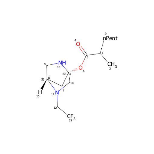 CCCCCC(C)C(=O)O[C@]12C[C@@H](CN1)N(CC(F)(F)F)C2